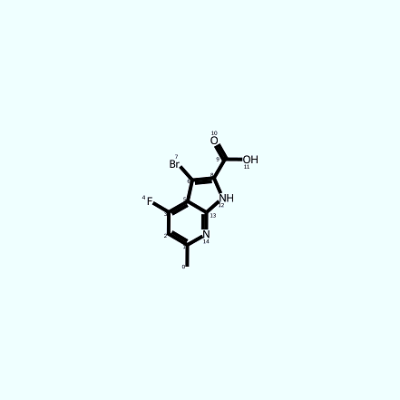 Cc1cc(F)c2c(Br)c(C(=O)O)[nH]c2n1